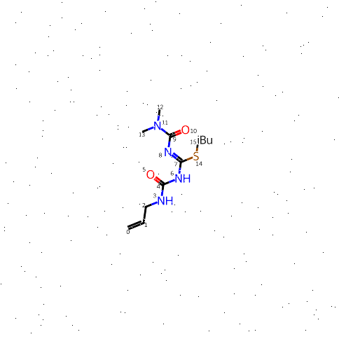 C=CCNC(=O)NC(=NC(=O)N(C)C)SC(C)CC